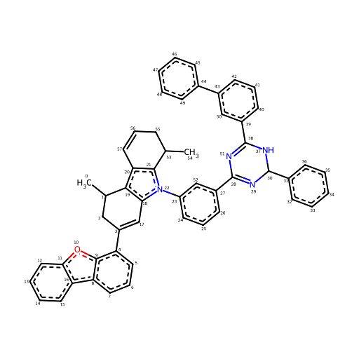 CC1CC(c2cccc3c2oc2ccccc23)=Cc2c1c1c(n2-c2cccc(C3=NC(c4ccccc4)NC(c4cccc(-c5ccccc5)c4)=N3)c2)C(C)CC=C1